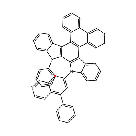 c1ccc(-c2cc(-n3c4ccccc4c4c5c6ccccc6c6ccccc6c5c5c6ccccc6n(-c6ccccc6)c5c43)nc3cnccc23)cc1